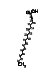 CCCCCC=CCC=CCCCCCCCC#CC(=O)O